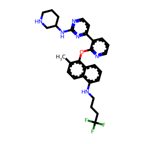 Cc1ccc2c(NCCCC(F)(F)F)cccc2c1Oc1ncccc1-c1ccnc(NC2CCCNC2)n1